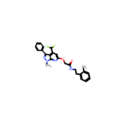 Cc1ccccc1CCNC(=O)COc1cc(C(F)F)c2c(-c3ccccc3)nn(C)c2n1